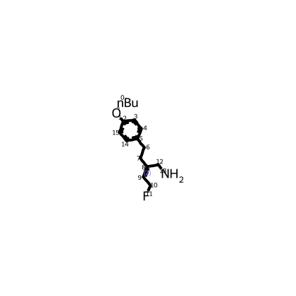 CCCCOc1ccc(CC/C(=C/CF)CN)cc1